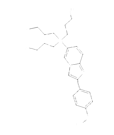 CCC[CH2][Sn]([CH2]CCC)([CH2]CCC)[c]1ccc2nc(-c3ccc(OC)cc3)cn2c1